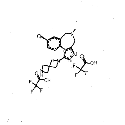 CN1Cc2cc(Cl)ccc2-n2c(nnc2N2CC3(CNC3)C2)C1.O=C(O)C(F)(F)F.O=C(O)C(F)(F)F